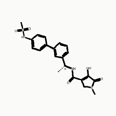 C[C@@H](NC(=O)C1=C(O)C(=O)N(C)C1)c1cccc(-c2ccc(NS(C)(=O)=O)cc2)c1